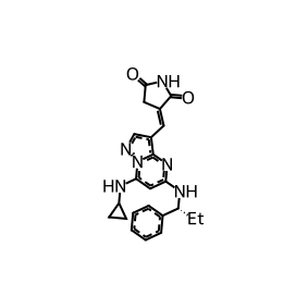 CC[C@@H](Nc1cc(NC2CC2)n2ncc(C=C3CC(=O)NC3=O)c2n1)c1ccccc1